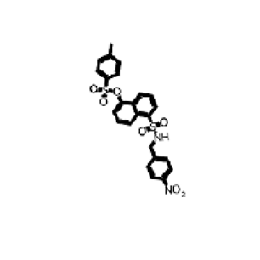 Cc1ccc(S(=O)(=O)Oc2cccc3c(S(=O)(=O)NCc4ccc([N+](=O)[O-])cc4)cccc23)cc1